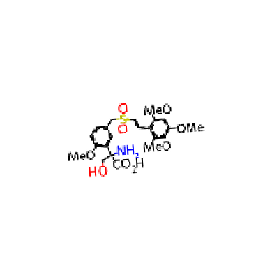 COc1cc(OC)c(C=CS(=O)(=O)Cc2ccc(OC)c([C@@](N)(CO)C(=O)O)c2)c(OC)c1